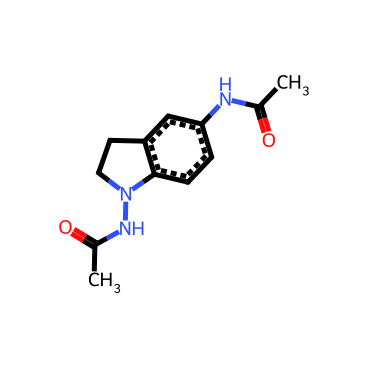 CC(=O)Nc1ccc2c(c1)CCN2NC(C)=O